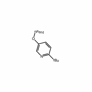 CCCCCOc1ccc(C(C)(C)C)nc1